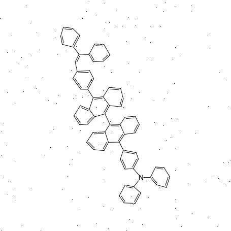 C(=C(c1ccccc1)c1ccccc1)c1ccc(-c2c3ccccc3c(-c3c4ccccc4c(-c4ccc(N(c5ccccc5)c5ccccc5)cc4)c4ccccc34)c3ccccc23)cc1